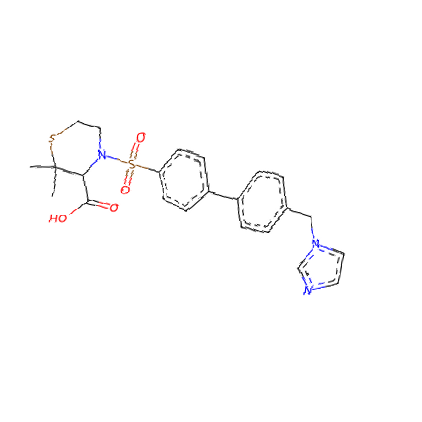 CC1(C)SCCN(S(=O)(=O)c2ccc(-c3ccc(Cn4ccnc4)cc3)cc2)C1C(=O)O